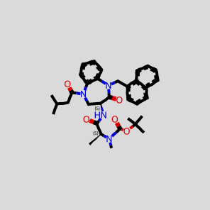 CC(C)CC(=O)N1C[C@H](NC(=O)[C@H](C)N(C)C(=O)OC(C)(C)C)C(=O)N(Cc2cccc3ccccc23)c2ccccc21